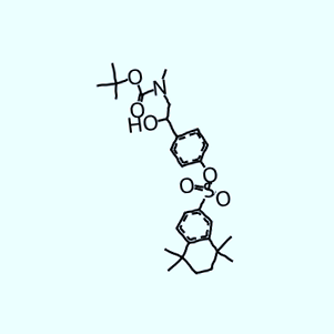 CN(CC(O)c1ccc(OS(=O)(=O)c2ccc3c(c2)C(C)(C)CCC3(C)C)cc1)C(=O)OC(C)(C)C